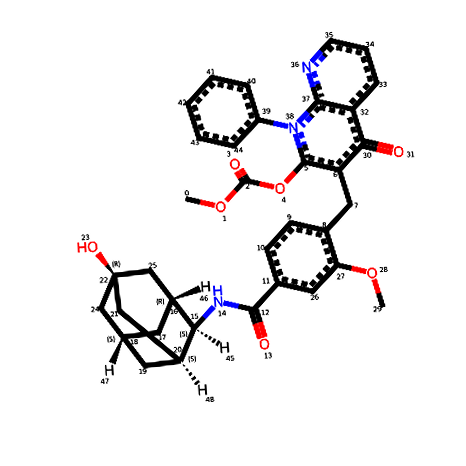 COC(=O)Oc1c(Cc2ccc(C(=O)N[C@@H]3[C@@H]4C[C@@H]5C[C@H]3C[C@](O)(C5)C4)cc2OC)c(=O)c2cccnc2n1-c1ccccc1